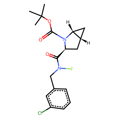 CC(C)(C)OC(=O)N1[C@@H]2C[C@@H]2C[C@H]1C(=O)N(F)Cc1cccc(Cl)c1